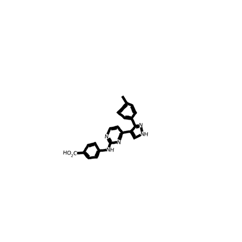 Cc1ccc(-c2n[nH]cc2-c2ccnc(Nc3ccc(C(=O)O)cc3)n2)cc1